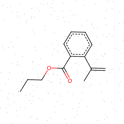 [CH2]CCOC(=O)c1ccccc1C(=C)C